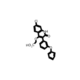 O=C(O)COc1c(-c2cccc(Oc3ccccc3)c2)c(=O)[nH]c2cc(Cl)ccc12